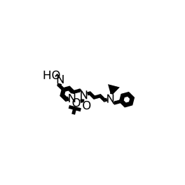 CC(C)(C)OC(=O)N(CCCCN(Cc1ccccc1)C1CC1)Cc1cc(C=NO)ccn1